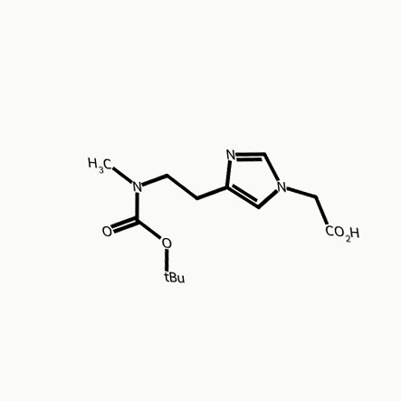 CN(CCc1cn(CC(=O)O)cn1)C(=O)OC(C)(C)C